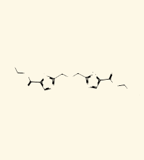 CCOC(=O)c1csc(COCc2nc(C(=O)OCC)cs2)n1